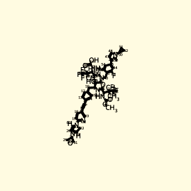 COC(=O)NC(C(=O)NC(Cc1ccc(C#Cc2ccc(N3C[C@@H]4C[C@H]3CN4C3COC3)nc2)cc1)C(O)CN(Cc1c(F)cc(-c2ccn(C3CC3)n2)cc1F)NC(=O)C(NC(=O)O)C(C)(C)C(F)(F)F)C(C)(C)C(F)(F)F